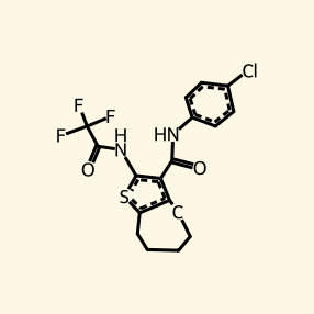 O=C(Nc1ccc(Cl)cc1)c1c(NC(=O)C(F)(F)F)sc2c1CCCCC2